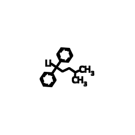 [Li][C](CCC(C)C)(c1ccccc1)c1ccccc1